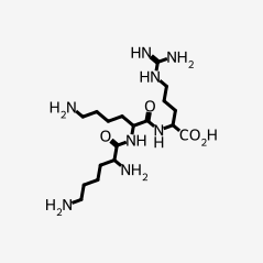 N=C(N)NCCCC(NC(=O)C(CCCCN)NC(=O)C(N)CCCCN)C(=O)O